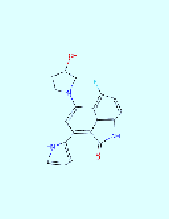 O=C1Nc2ccc(F)c3c(N4CCC(O)C4)cc(-c4ccc[nH]4)c1c23